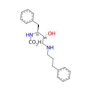 O=C(O)N[C@@H](Cc1ccccc1)[C@H](O)CNCCCc1ccccc1